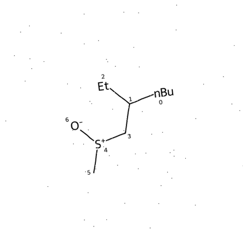 CCCCC(CC)C[S+](C)[O-]